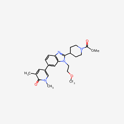 COC(=O)N1CCC(c2nc3ccc(-c4cc(C)c(=O)n(C)c4)cc3n2CCOC(F)(F)F)CC1